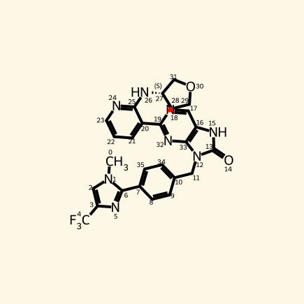 Cn1cc(C(F)(F)F)nc1-c1ccc(Cn2c(=O)[nH]c3cnc(-c4cccnc4N[C@H]4CCOC4)nc32)cc1